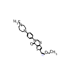 CCO/C=C\c1cc2ncn(-c3ccc(N4CCCN(C)CC4)cc3)c(=O)c2s1